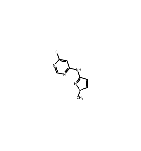 Cn1ccc(Nc2cc(Cl)ncn2)n1